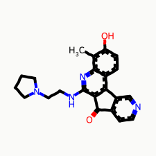 Cc1c(O)ccc2c3c(c(NCCN4CCCC4)nc12)C(=O)c1ccncc1-3